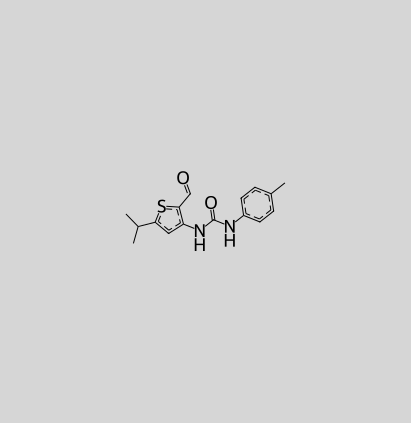 Cc1ccc(NC(=O)Nc2cc(C(C)C)sc2C=O)cc1